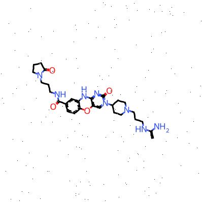 C=C(N)NCCCN1CCC(n2cc3c(nc2=O)Nc2cc(C(=O)NCCCN4CCCC4=O)ccc2O3)CC1